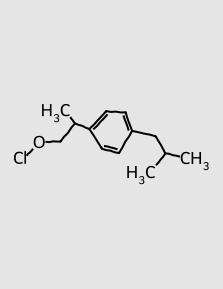 CC(C)Cc1ccc(C(C)COCl)cc1